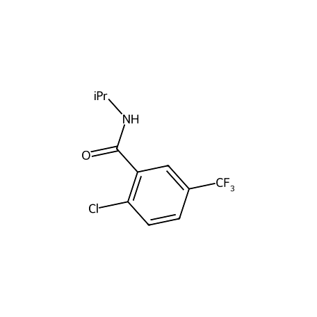 CC(C)NC(=O)c1cc(C(F)(F)F)ccc1Cl